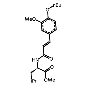 CCCCOc1ccc(C=CC(=O)N[C@H](CC(C)C)C(=O)OC)cc1OC